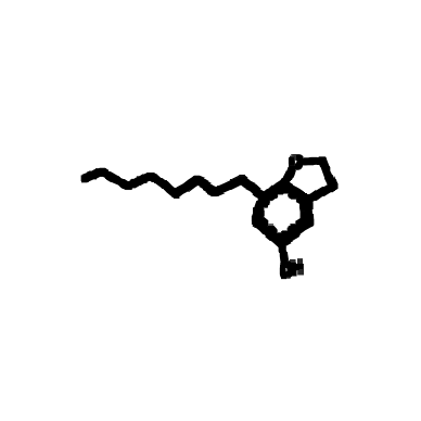 CCCCCCCCc1cc(O)cc2c1OCC2